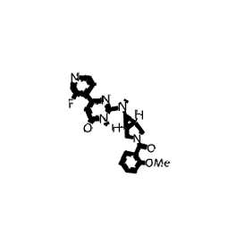 COc1ccccc1C(=O)N1C[C@@H]2[C@H](C1)[C@@H]2N(C)c1nc(-c2ccncc2F)cc(=O)n1C